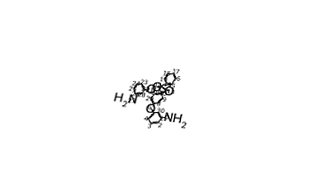 Nc1cccc(Oc2ccc(S(=O)(=O)c3ccccc3)c(Oc3cccc(N)c3)c2)c1